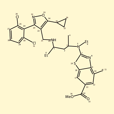 CCC(CC(C)N(CC)c1nc2c(F)cc(C(=O)OC)cc2s1)NCc1c(-c2c(Cl)cccc2Cl)noc1C1CC1